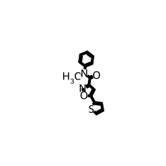 CN(C(=O)c1cc(-c2cccs2)on1)c1ccccc1